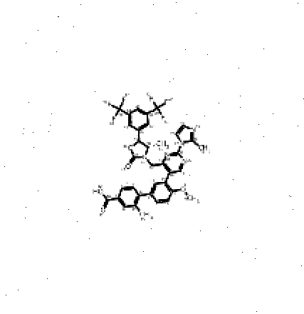 COc1ccc(-c2ccc(C(=O)O)cc2C)cc1-c1cnc(-n2ccnc2C)nc1CN1C(=O)OC(c2cc(C(F)(F)F)cc(C(F)(F)F)c2)[C@@H]1C